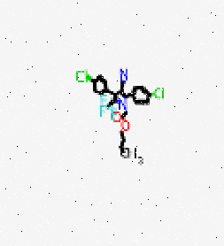 CCCCOC(=O)Cn1c(-c2ccc(Cl)cc2)c(C#N)c(-c2ccc(Cl)cc2)c1C(F)(F)F